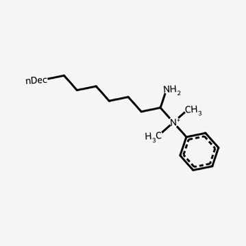 CCCCCCCCCCCCCCCCC(N)[N+](C)(C)c1ccccc1